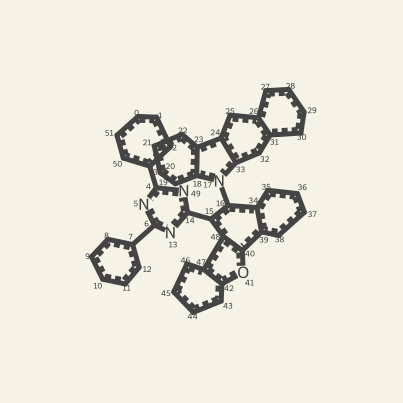 c1ccc(-c2nc(-c3ccccc3)nc(-c3c(-n4c5ccccc5c5cc6ccccc6cc54)c4ccccc4c4oc5ccccc5c34)n2)cc1